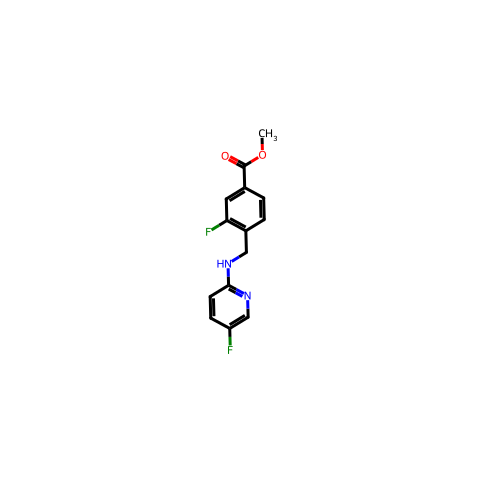 COC(=O)c1ccc(CNc2ccc(F)cn2)c(F)c1